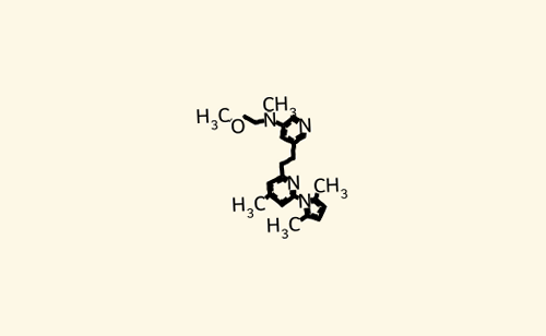 COCCN(C)c1cncc(CCc2cc(C)cc(-n3c(C)ccc3C)n2)c1